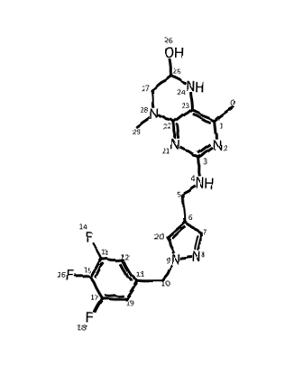 Cc1nc(NCc2cnn(Cc3cc(F)c(F)c(F)c3)c2)nc2c1NC(O)CN2C